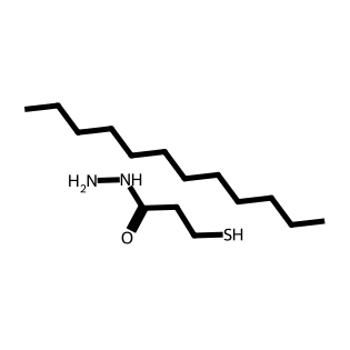 CCCCCCCCCCCC.NNC(=O)CCS